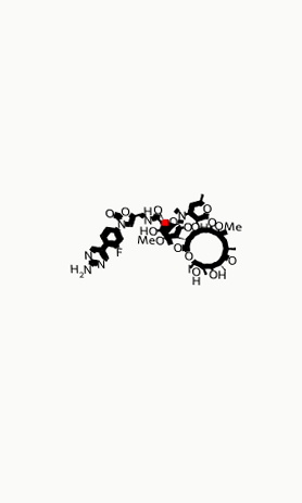 CO[C@]1(C)C[C@@H](C)C(=O)[C@H](C)[C@@H](O)[C@](C)(O)[C@@H](I)OC(=O)[C@H](C)[C@@H](O[C@H]2C[C@@](C)(OC)[C@@H](O)[C@H](C)O2)[C@H](C)[C@H]1O[C@@H]1O[C@H](C)C[C@H](N(C)C[C@@H]2C[C@H]2C(=O)NC[C@H]2CN(c3ccc(-c4cnc(N)nc4)c(F)c3)C(=O)O2)[C@H]1O